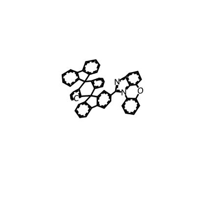 c1ccc2c(c1)Oc1cccc3nc(-c4ccc5c(c4)C4(c6ccccc6-5)c5ccccc5C5(c6ccccc6-c6ccccc65)c5ccccc54)n-2c13